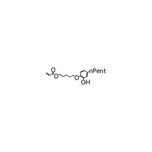 C=CC(=O)OCCCCCOc1ccc(CCCCC)cc1O